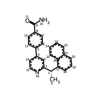 C[C@H](c1cc(-c2ccc(C(N)=O)cc2)ccn1)c1cccc2ccccc12